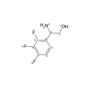 NC(CO)c1ccc(F)c(F)c1F